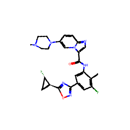 Cc1c(F)cc(-c2noc([C@H]3C[C@@H]3F)n2)cc1NC(=O)c1cnc2ccc(N3CCN(C)CC3)cn12